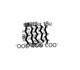 CC(C)(C)CCCCCC(=O)[O-].CC(C)(C)CCCCCC(=O)[O-].CC(C)(C)CCCCCC(=O)[O-].CC(C)(C)CCCCCC(=O)[O-].CC(C)(C)CCCCCC(=O)[O-].[Bi+5]